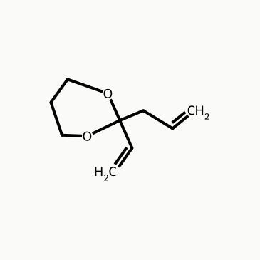 C=CCC1(C=C)OCCCO1